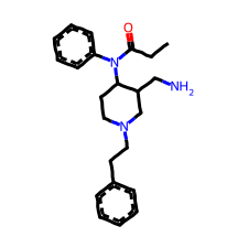 CCC(=O)N(c1ccccc1)C1CCN(CCc2ccccc2)CC1CN